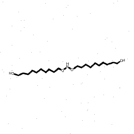 OCCCCCCCCCCONOCCCCCCCCCCO